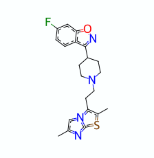 Cc1cn2c(CCN3CCC(c4noc5cc(F)ccc45)CC3)c(C)sc2n1